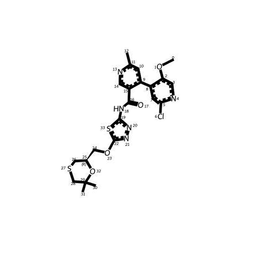 COc1cnc(Cl)cc1-c1cc(C)ncc1C(=O)Nc1nnc(OC[C@@H]2CSCC(C)(C)O2)s1